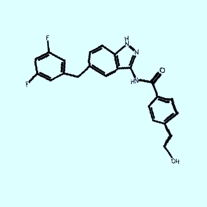 O=C(Nc1n[nH]c2ccc(Cc3cc(F)cc(F)c3)cc12)c1ccc(CCO)cc1